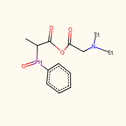 CCN(CC)CC(=O)OC(=O)C(C)[PH](=O)c1ccccc1